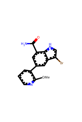 COc1ncccc1-c1cc(C(N)=O)c2[nH]cc(Br)c2c1